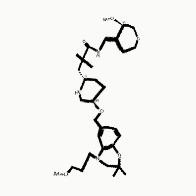 COCCCN1CC(C)(C)Oc2ccc(CO[C@@H]3CC[C@@H](CC(C)(C)C(=O)NCC4CCOC[C@@H]4OC)NC3)cc21